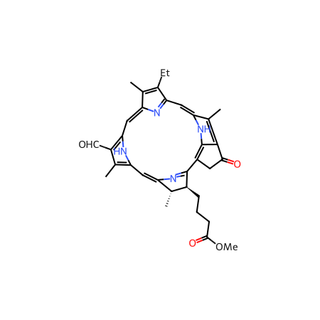 CCC1=C(C)c2cc3[nH]c(cc4nc(c5c6[nH]c(cc1n2)c(C)c6C(=O)C5)[C@@H](CCCC(=O)OC)[C@@H]4C)c(C)c3C=O